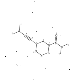 CC(C)C#CC1CN(C(=O)C(C)C)CCO1